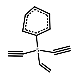 C#CS(C#C)(C=C)c1ccccc1